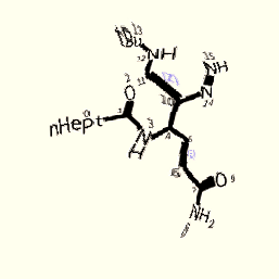 CCCCCCCC(=O)NC(/C=C/C(N)=O)/C(=C/NC(C)(C)C)N=N